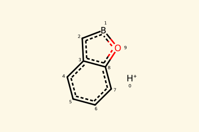 [H+].b1cc2ccccc2o1